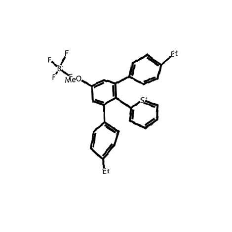 CCc1ccc(-c2cc(OC)cc(-c3ccc(CC)cc3)c2-c2cccc[s+]2)cc1.F[B-](F)(F)F